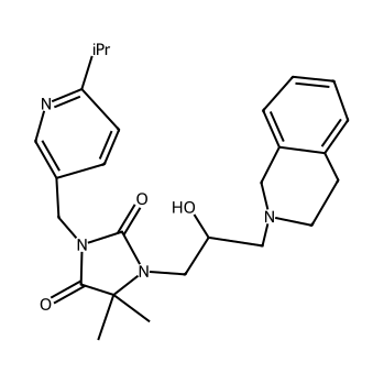 CC(C)c1ccc(CN2C(=O)N(CC(O)CN3CCc4ccccc4C3)C(C)(C)C2=O)cn1